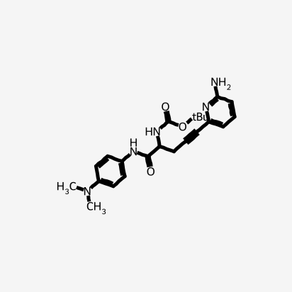 CN(C)c1ccc(NC(=O)C(CC#Cc2cccc(N)n2)NC(=O)OC(C)(C)C)cc1